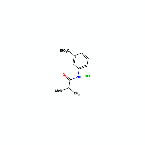 CCOC(=O)c1cccc(NC(=O)C(C)NC)c1.Cl